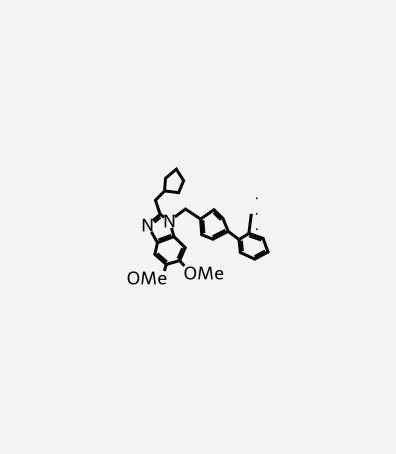 [C]c1ccccc1-c1ccc(Cn2c(CC3CCCC3)nc3cc(OC)c(OC)cc32)cc1